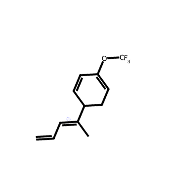 C=C/C=C(\C)C1C=CC(OC(F)(F)F)=CC1